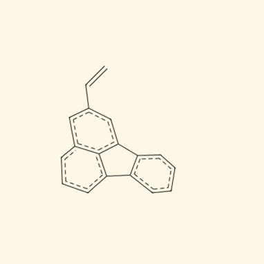 C=Cc1cc2c3c(cccc3c1)-c1ccccc1-2